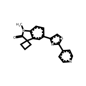 CN1C(=O)C2(CCC2)c2cc(-c3csc(-c4ccncc4)n3)ccc21